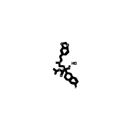 CS[C@@](CCN(C)CCc1ccc2c(c1)OCO2)(C(=O)OC(C)C)C1CCc2cc(F)ccc2C1.Cl